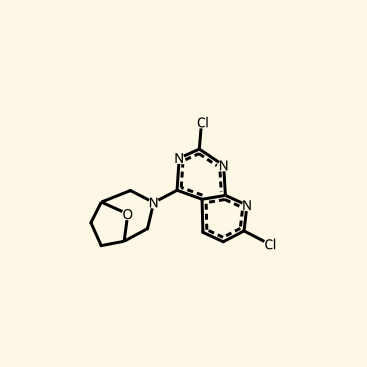 Clc1ccc2c(N3CC4CCC(C3)O4)nc(Cl)nc2n1